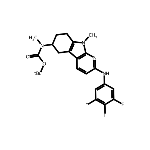 CN(C(=O)OC(C)(C)C)C1CCc2c(c3ccc(Nc4cc(F)c(F)c(F)c4)nc3n2C)C1